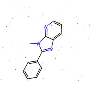 Cn1c(-c2ccccc2)nc2cccnc21